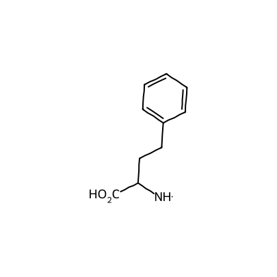 [NH]C(CCc1ccccc1)C(=O)O